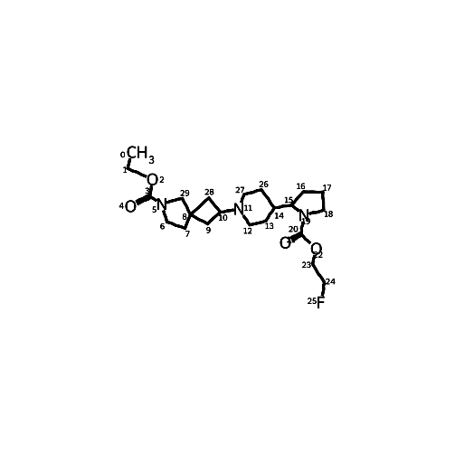 CCOC(=O)N1CCC2(CC(N3CCC(C4CCCN4C(=O)OCCF)CC3)C2)C1